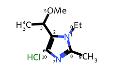 CCn1c(C(C)OC)cnc1C.Cl